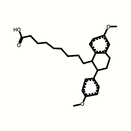 COc1ccc(C2CCc3cc(OC)ccc3C2CCCCCCCCC(=O)O)cc1